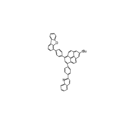 CC(C)(C)c1cc2ccc3c(-c4ccc(-c5ccc6ccccc6n5)cc4)cc(-c4ccc(-c5cccc6c5oc5ccccc56)cc4)c4ccc(c1)c2c34